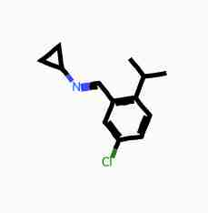 CC(C)c1ccc(Cl)cc1C=NC1CC1